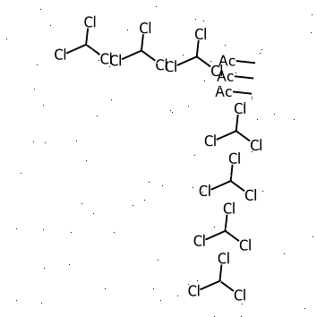 CC(C)=O.CC(C)=O.CC(C)=O.ClC(Cl)Cl.ClC(Cl)Cl.ClC(Cl)Cl.ClC(Cl)Cl.ClC(Cl)Cl.ClC(Cl)Cl.ClC(Cl)Cl